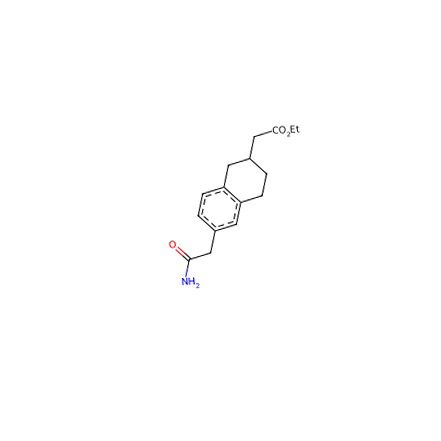 CCOC(=O)CC1CCc2cc(CC(N)=O)ccc2C1